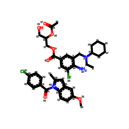 CCN(Cc1cc(C(=O)OCC(CO)OC(C)=O)cc(Br)c1N)C1CCCCC1.COc1ccc2c(c1)cc(C)n2C(=O)c1ccc(Cl)cc1